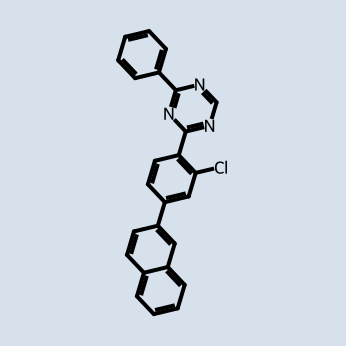 Clc1cc(-c2ccc3ccccc3c2)ccc1-c1ncnc(-c2ccccc2)n1